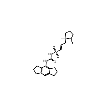 CN1CCCC1(C)C/C=C/S(=O)(=O)NC(=O)Nc1c2c(cc3c1CCC3)CCC2